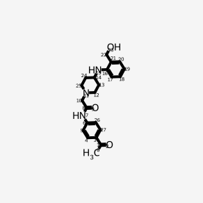 CC(=O)c1ccc(NC(=O)CN2CCC(Nc3ccccc3CO)CC2)cc1